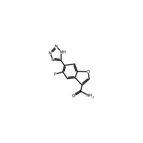 NC(=O)c1coc2cc(-c3nnn[nH]3)c(F)cc12